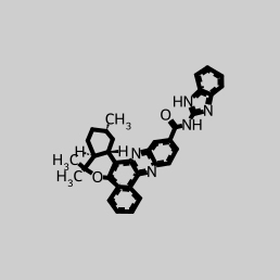 C[C@H]1CC[C@H]2[C@H](C1)c1c(c3ccccc3c3nc4ccc(C(=O)Nc5nc6ccccc6[nH]5)cc4nc13)OC2(C)C